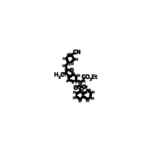 CCOC(=O)CN(c1ccc2c(C)c(Cc3ccc(C#N)cc3)oc2c1)S(=O)(=O)c1cccc2cccnc12